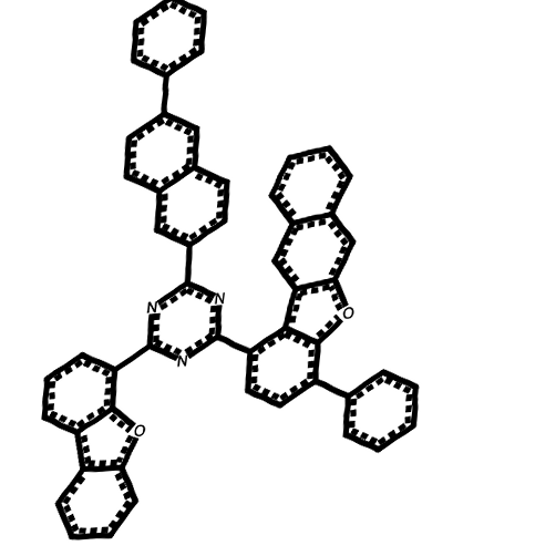 c1ccc(-c2ccc3cc(-c4nc(-c5cccc6c5oc5ccccc56)nc(-c5ccc(-c6ccccc6)c6oc7cc8ccccc8cc7c56)n4)ccc3c2)cc1